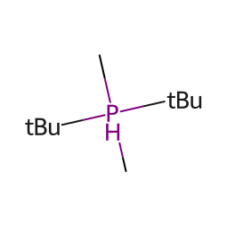 CC(C)(C)[PH](C)(C)C(C)(C)C